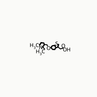 CCc1nc(C)ccc1COc1ccc2c(CC(=O)O)csc2c1